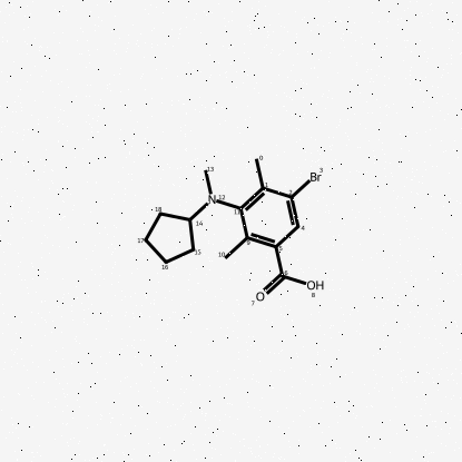 Cc1c(Br)cc(C(=O)O)c(C)c1N(C)C1CCCC1